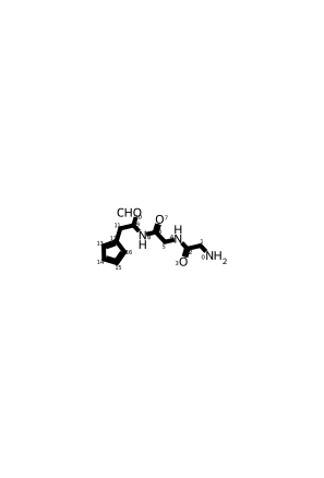 NCC(=O)NCC(=O)NC(C=O)CC1=CC=C=C1